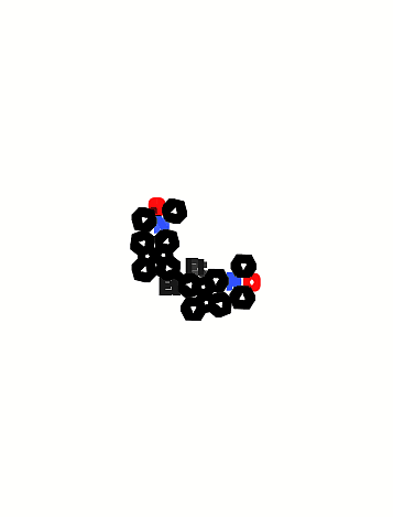 CCc1cc2c(cc1-c1ccc3c(c1CC)-c1ccc(N4c5ccccc5Oc5ccccc54)cc1C31c3ccccc3-c3ccccc31)-c1ccc(N3c4ccccc4Oc4ccccc43)cc1C21c2ccccc2-c2ccccc21